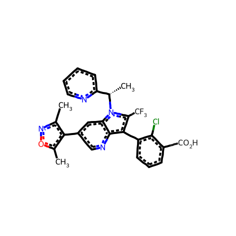 Cc1noc(C)c1-c1cnc2c(-c3cccc(C(=O)O)c3Cl)c(C(F)(F)F)n([C@@H](C)c3ccccn3)c2c1